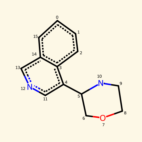 c1ccc2c(C3COCC[N]3)cncc2c1